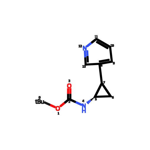 CC(C)(C)OC(=O)N[C@H]1CC1c1cccnc1